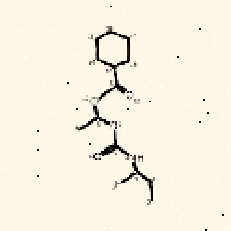 [CH2]CC(F)NC(=O)OC(C)OC(=O)C1CCCCC1